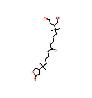 CC(C)(CCCCC(=O)CCCCC(C)(C)C1COC(=O)C1)C(CO)CC=O